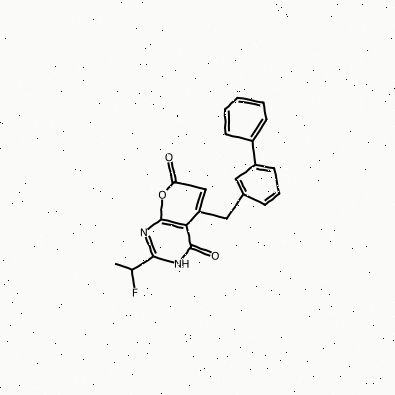 CC(F)c1nc2oc(=O)cc(Cc3cccc(-c4ccccc4)c3)c2c(=O)[nH]1